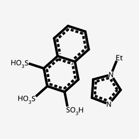 CCn1ccnc1.O=S(=O)(O)c1cc2ccccc2c(S(=O)(=O)O)c1S(=O)(=O)O